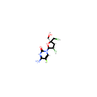 Nc1nc(=O)n(C2O[C@@](CO)(CCl)C[C@H]2Cl)cc1F